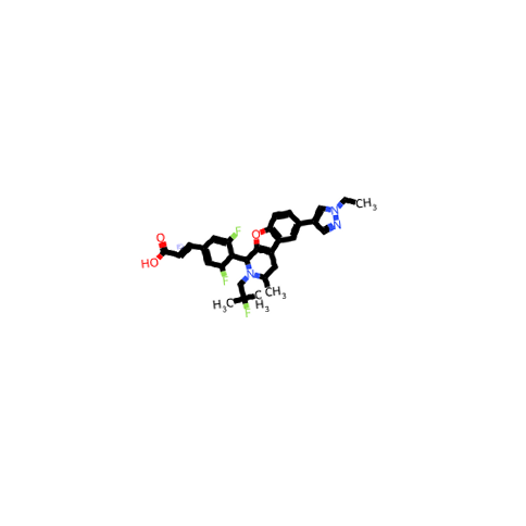 CCn1cc(-c2ccc3oc4c(c3c2)CC(C)N(CC(C)(C)F)C4C2C(F)=CC(/C=C/C(=O)O)=CC2F)cn1